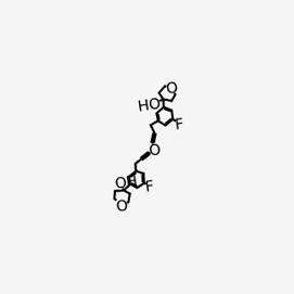 OC1(c2cc(F)cc(CC#COC#CCc3cc(F)cc(C4(O)CCOCC4)c3)c2)CCOCC1